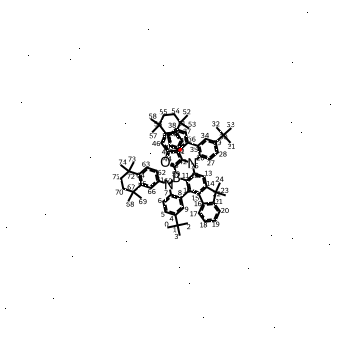 CC(C)(C)c1ccc2c(c1)-c1c3c(cc4c1-c1ccccc1C4(C)C)N(c1ccc(C(C)(C)C)cc1-c1ccccc1)c1c(oc4cc5c(cc14)C(C)(C)CCC5(C)C)B3N2c1ccc2c(c1)C(C)(C)CCC2(C)C